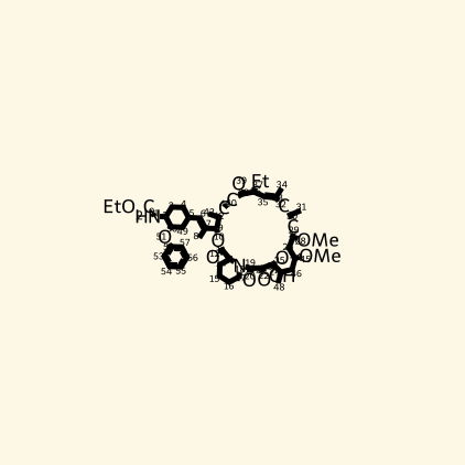 CCOC(=O)NC1CCC(C=C(C)C2OC(=O)C3CCCCN3C(=O)C(=O)C3(O)OC(C(OC)CC(C)C/C(C)=C/C(CC)C(=O)CCC2C)C(OC)CC3C)CC1Oc1ccccc1